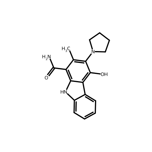 Cc1c(N2CCCC2)c(O)c2c([nH]c3ccccc32)c1C(N)=O